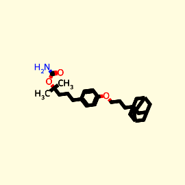 CC(C)(CCCc1ccc(OCCCC23CC4CC(CC(C4)C2)C3)cc1)OC(N)=O